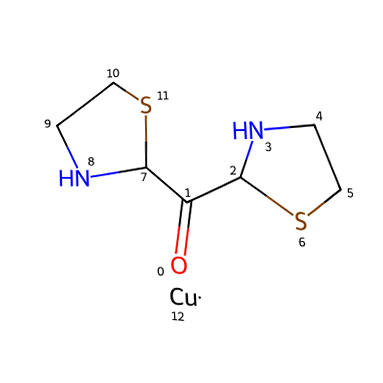 O=C(C1NCCS1)C1NCCS1.[Cu]